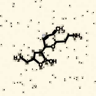 C=C/C=C\C(OCCCN)[C@@H]1CC(CN)OB1O